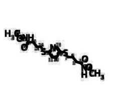 CONC(=O)CCCSc1ccc(SCCCC(=O)NOC)nc1